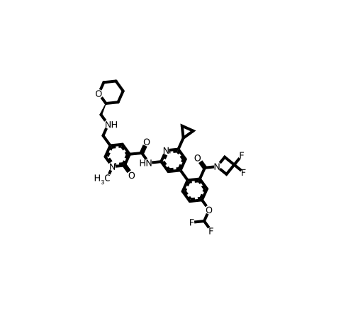 Cn1cc(CNC[C@@H]2CCCCO2)cc(C(=O)Nc2cc(-c3ccc(OC(F)F)cc3C(=O)N3CC(F)(F)C3)cc(C3CC3)n2)c1=O